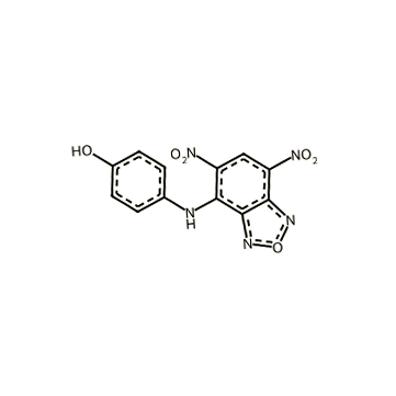 O=[N+]([O-])c1cc([N+](=O)[O-])c2nonc2c1Nc1ccc(O)cc1